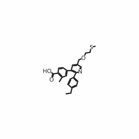 CCc1ccc(-c2ncc(COCCSC)cc2-c2ccc(C(=O)O)c(C)c2)cc1